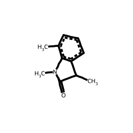 Cc1cccc2c1N(C)C(=O)C2C